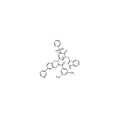 Cc1cc(C)cc(C(=O)N(C)C(Cc2ccc(-c3cccnc3)cc2)C(=O)NC(Cc2c[nH]c3ccccc23)C(=O)NS(=O)(=O)c2ccccc2)c1